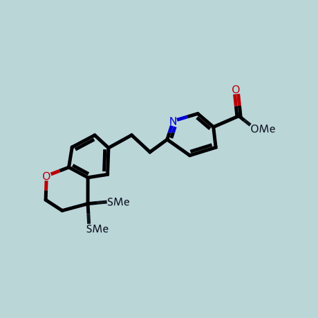 COC(=O)c1ccc(CCc2ccc3c(c2)C(SC)(SC)CCO3)nc1